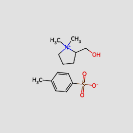 C[N+]1(C)CCCC1CO.Cc1ccc(S(=O)(=O)[O-])cc1